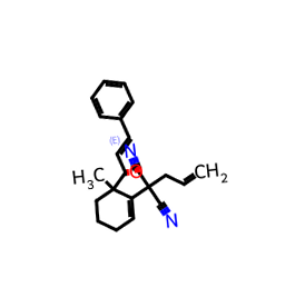 C=CCC(C#N)(C#N)C1=CCCCC1(C)C(=O)/C=C/c1ccccc1